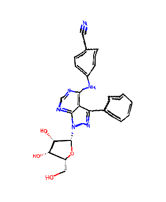 N#Cc1ccc(Nc2ncnc3c2c(-c2ccccc2)nn3[C@@H]2O[C@H](CO)[C@H](O)[C@@H]2O)cc1